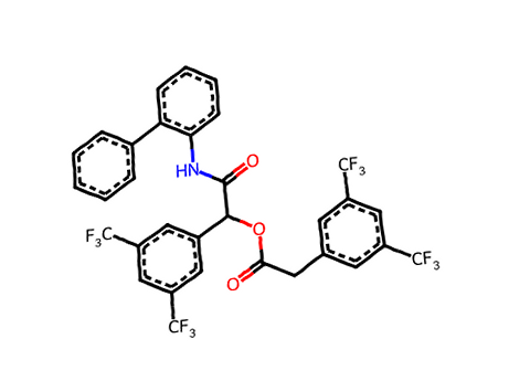 O=C(Cc1cc(C(F)(F)F)cc(C(F)(F)F)c1)OC(C(=O)Nc1ccccc1-c1ccccc1)c1cc(C(F)(F)F)cc(C(F)(F)F)c1